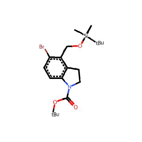 CC(C)(C)OC(=O)N1CCc2c1ccc(Br)c2CO[Si](C)(C)C(C)(C)C